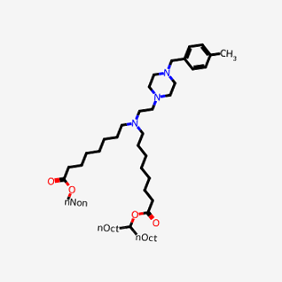 CCCCCCCCCOC(=O)CCCCCCCN(CCCCCCCC(=O)OC(CCCCCCCC)CCCCCCCC)CCN1CCN(Cc2ccc(C)cc2)CC1